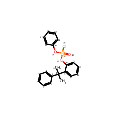 CC(C)(c1ccccc1)c1ccccc1OP(=O)(Cl)Oc1ccccc1